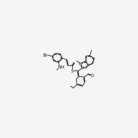 C=C(/C=C/c1ccc(Br)cc1NC)S/C(=C1\CC(CC)=CC=C1C=O)c1cc2ccc(C)cc2n1C